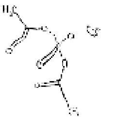 CC(=O)OP(=O)([O-])OC(C)=O.[Ca+]